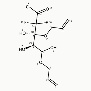 C=CCOC(O)[C@@H](O)[C@](O)(OCC=C)C(F)(F)C(=O)Cl